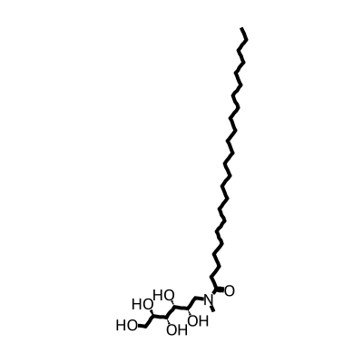 CCCCCCCCCCCCCCCCCCCCCCCC(=O)N(C)C[C@H](O)[C@@H](O)[C@H](O)[C@H](O)CO